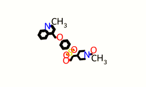 CC(=O)N1CCC(C(C=O)S(=O)(=O)c2ccc(OCc3cc(C)nc4ccccc34)cc2)CC1